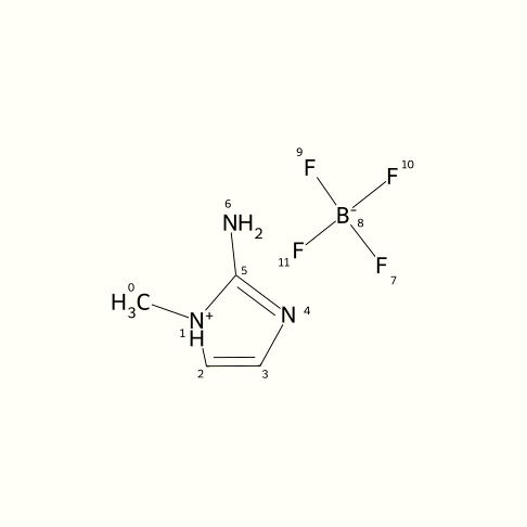 C[NH+]1C=CN=C1N.F[B-](F)(F)F